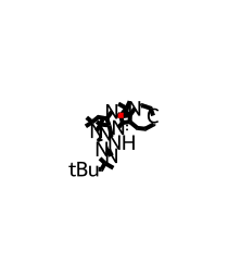 CC(C)(C)CC(C)(C)N=c1nc2nc([nH]1)C1C(N=C3C([N])C4CCCCCCN(C3(C)C)C4(C)C)CC(C)(C)N2C1(C)C